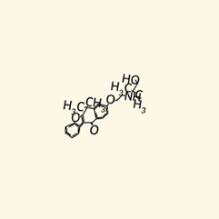 CC(C)(CO)NCCOc1ccc2c(c1)C(C)(C)c1oc3ccccc3c1C2=O